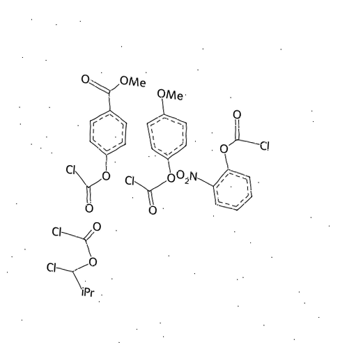 CC(C)C(Cl)OC(=O)Cl.COC(=O)c1ccc(OC(=O)Cl)cc1.COc1ccc(OC(=O)Cl)cc1.O=C(Cl)Oc1ccccc1[N+](=O)[O-]